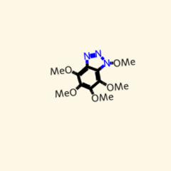 COc1c(OC)c(OC)c2c(nnn2OC)c1OC